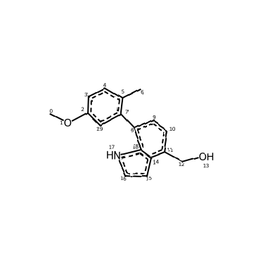 COc1ccc(C)c(-c2ccc(CO)c3cc[nH]c23)c1